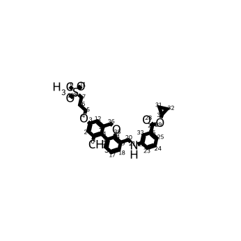 Cc1cc(OCCCS(C)(=O)=O)cc2c1-c1cccc(CNc3cccc(C(=O)OC4CC4)c3)c1OC2